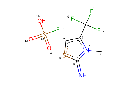 Cn1c(C(F)(F)F)csc1=N.O=S(=O)(O)F